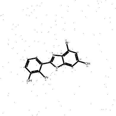 CC(C)c1c(O)cccc1-c1nc2c(Br)cc(O)cc2s1